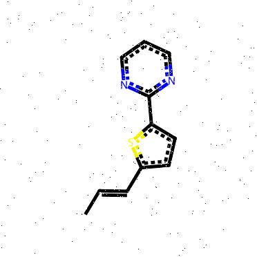 [CH2]C=Cc1ccc(-c2ncccn2)s1